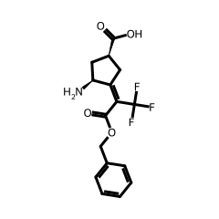 N[C@H]1C[C@@H](C(=O)O)C/C1=C(/C(=O)OCc1ccccc1)C(F)(F)F